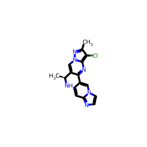 Cc1nn2cc([C@H](C)N)c(-c3ccc4nccn4c3)nc2c1Cl